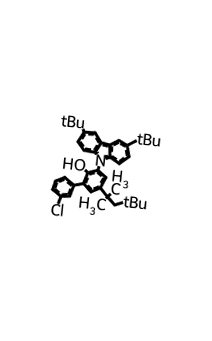 CC(C)(C)CC(C)(C)c1cc(-c2cccc(Cl)c2)c(O)c(-n2c3ccc(C(C)(C)C)cc3c3cc(C(C)(C)C)ccc32)c1